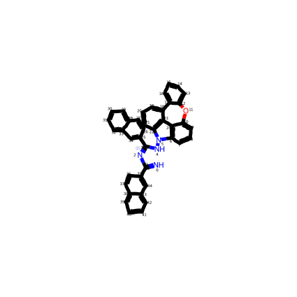 N=C(/N=C(\Nn1c2cccc3oc4ccccc4c4cccc1c4c32)c1ccc2ccccc2c1)c1ccc2ccccc2c1